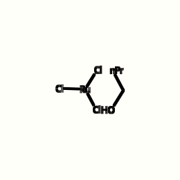 CCCCO.[Cl][Ru]([Cl])[Cl]